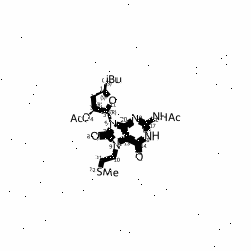 CC[C@H](C)[C@@H]1C[C@@H](OC(C)=O)[C@H](n2c(=O)n(CCSC)c3c(=O)[nH]c(NC(C)=O)nc32)O1